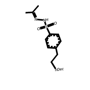 CCCCCCCCCCCCc1ccc(S(=O)(=O)NN=C(C)C)cc1